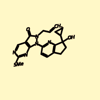 C=CCn1c(=O)c2cnc(SC)nc2n1-c1ccc2c(n1)C(O)(C1CC1)CC2